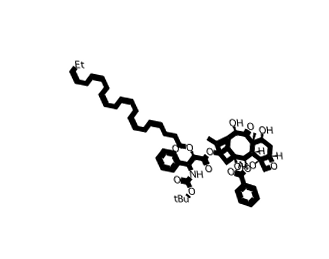 CC/C=C\C/C=C\C/C=C\C/C=C\C/C=C\C/C=C\CCC(=O)O[C@@H](C(=O)OC12C[C@@]3(O)[C@@H](OC(=O)c4ccccc4)[C@@H]4[C@]5(OC(C)=O)CO[C@@H]5C[C@H](O)[C@@]4(C)C(=O)[C@H](O)C(=C1C)[C@@]23C)C(NC(=O)OC(C)(C)C)c1ccccc1